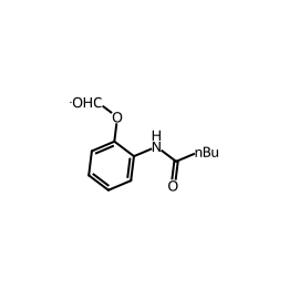 CCCCC(=O)Nc1ccccc1O[C]=O